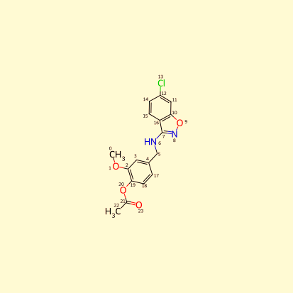 COc1cc(CNc2noc3cc(Cl)ccc23)ccc1OC(C)=O